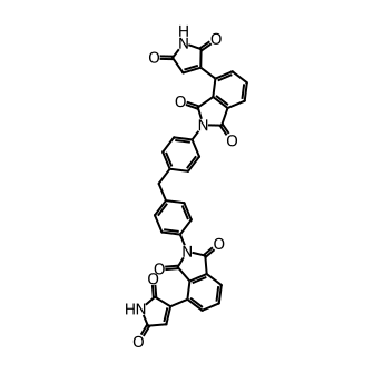 O=C1C=C(c2cccc3c2C(=O)N(c2ccc(Cc4ccc(N5C(=O)c6cccc(C7=CC(=O)NC7=O)c6C5=O)cc4)cc2)C3=O)C(=O)N1